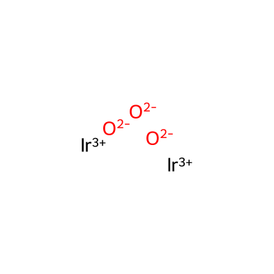 [Ir+3].[Ir+3].[O-2].[O-2].[O-2]